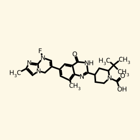 Cc1cn2c(n1)N(F)C=C(c1cc(C)c3nc(C4CCN(C(=O)O)C(C(C)(C)C)C4)[nH]c(=O)c3c1)C2